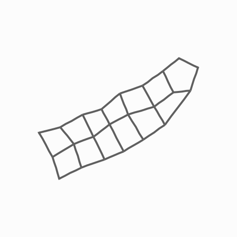 C1CC2C3C1C1C4C5C6C7CC8CC9C%10C%11C%12C2C31C4%12C5%11C6%10C879